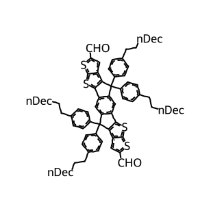 CCCCCCCCCCCCc1ccc(C2(c3ccc(CCCCCCCCCCCC)cc3)c3cc4c(cc3-c3sc5sc(C=O)cc5c32)C(c2ccc(CCCCCCCCCCCC)cc2)(c2ccc(CCCCCCCCCCCC)cc2)c2c-4sc3sc(C=O)cc23)cc1